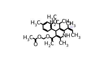 C=C(C)C1=C(/C(C)=C\C)NC(C)=C(C(=C)OCOC(C)=O)C1c1ccc(C)cc1OC